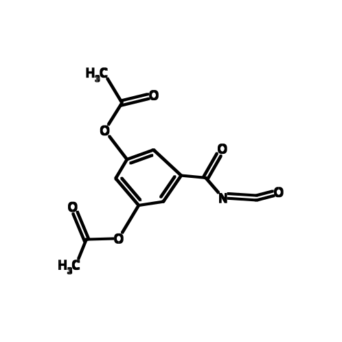 CC(=O)Oc1cc(OC(C)=O)cc(C(=O)N=C=O)c1